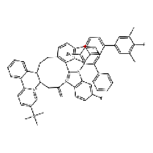 C=C1CC2C(CCc3ccc4c(oc5cc(-c6cc(C)c(F)c(C)c6)ccc54)c3-c3n(-c4c(-c5ccccc5)cccc4C(C)(C)C)c4cc(F)ccc4[n+]31)c1ccccc1-c1ccc([Si](C)(C)C)c[n+]12